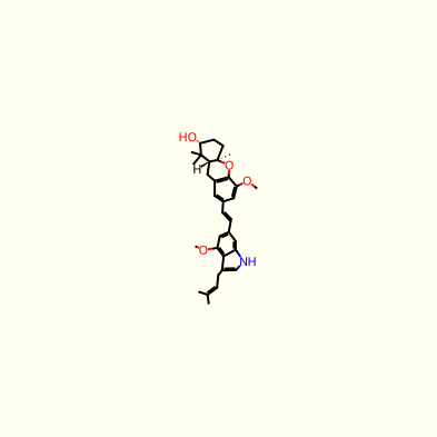 COc1cc(/C=C/c2cc(OC)c3c(CC=C(C)C)c[nH]c3c2)cc2c1O[C@]1(C)CC[C@@H](O)C(C)(C)[C@H]1C2